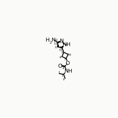 CC(C)NC(=O)OC1CC(c2cc(N)n[nH]2)C1